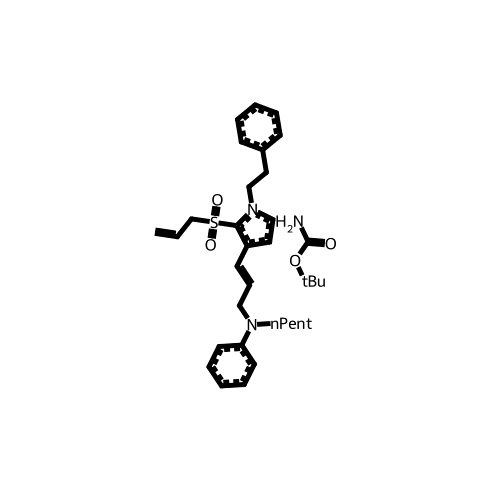 C=CCS(=O)(=O)c1c(C=CCN(CCCCC)c2ccccc2)ccn1CCc1ccccc1.CC(C)(C)OC(N)=O